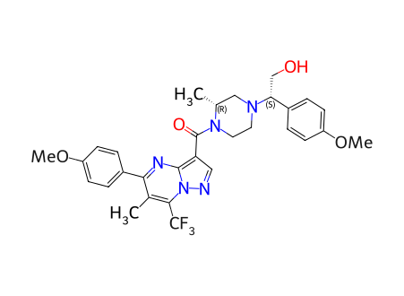 COc1ccc(-c2nc3c(C(=O)N4CCN([C@H](CO)c5ccc(OC)cc5)C[C@H]4C)cnn3c(C(F)(F)F)c2C)cc1